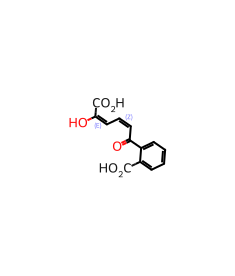 O=C(O)/C(O)=C\C=C/C(=O)c1ccccc1C(=O)O